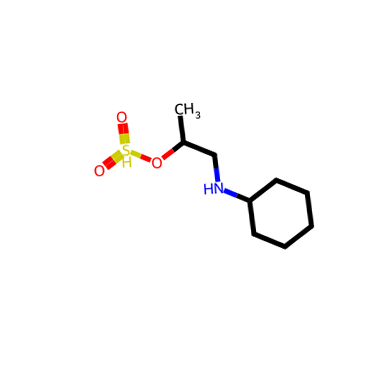 CC(CNC1CCCCC1)O[SH](=O)=O